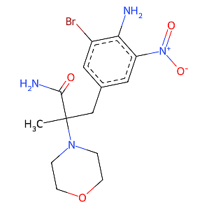 CC(Cc1cc(Br)c(N)c([N+](=O)[O-])c1)(C(N)=O)N1CCOCC1